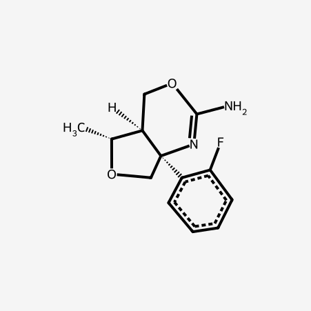 C[C@H]1OC[C@]2(c3ccccc3F)N=C(N)OC[C@H]12